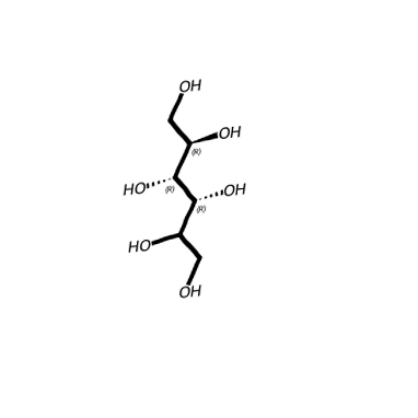 OCC(O)[C@@H](O)[C@H](O)[C@H](O)CO